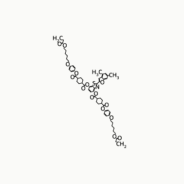 C=CC(=O)OCCCCCCOc1ccc(OC(=O)C2CCC(C(=O)Oc3ccc(OC(=O)C4CCC(C(=O)Oc5ccc(OCCCCCCOC(=O)C=C)cc5)CC4)c4sc(-c5cc6c(C)cc(C)cc6o5)nc34)CC2)cc1